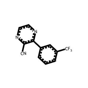 N#Cc1nccnc1-c1cc[c]c(C(F)(F)F)c1